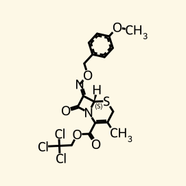 COc1ccc(CON=C2C(=O)N3C(C(=O)OCC(Cl)(Cl)Cl)=C(C)CS[C@@H]23)cc1